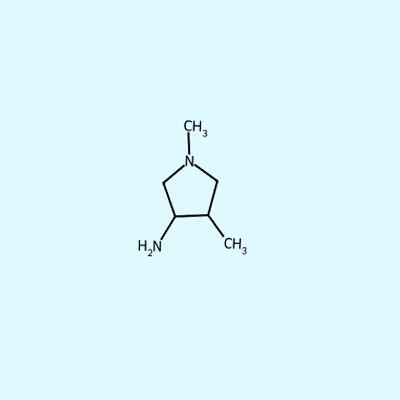 CC1CN(C)CC1N